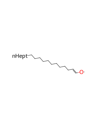 CCCCCCCCCCCCCCCCCC=C[O]